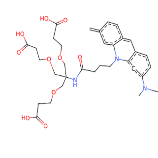 C=c1ccc2c(c1)N(CCCC(=O)NC(COCCC(=O)O)(COCCC(=O)O)COCCC(=O)O)c1cc(N(C)C)ccc1C=2